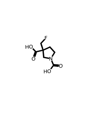 O=C(O)N1CCC(CF)(C(=O)O)C1